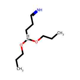 CCCO[SiH](CCC=N)OCCC